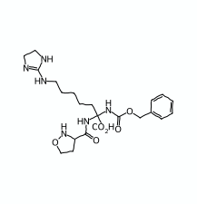 O=C(NC(CCCCCNC1=NCCN1)(NC(=O)C1CCON1)C(=O)O)OCc1ccccc1